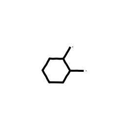 [CH2]C1CCCCC1[CH2]